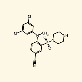 CN(c1cc(Cl)cc(Cl)c1)c1ccc(C#N)cc1S(=O)(=O)N1CCNCC1